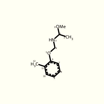 COC(C)NCOc1ccccc1C